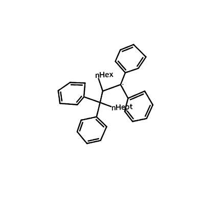 CCCCCCCC(c1ccccc1)(c1ccccc1)C(CCCCCC)[C](c1ccccc1)c1ccccc1